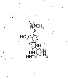 Cn1nnnc1SCC1=C(C(=O)O)N2C(=O)[C@@H](NC(=O)C(NC(N)=O)c3csc(=N)[nH]3)C2SC1